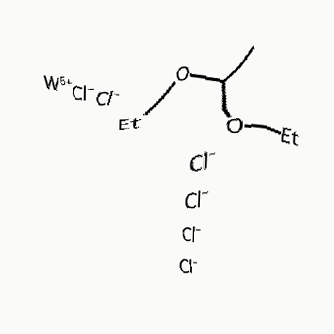 CCOC(C)OCC.[Cl-].[Cl-].[Cl-].[Cl-].[Cl-].[Cl-].[W+6]